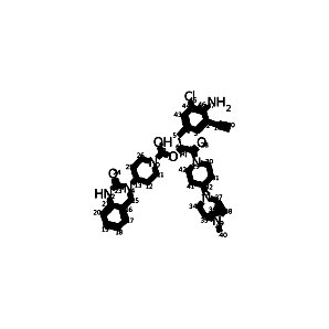 C#Cc1cc(C[C@@H](OC(O)N2CCC(N3Cc4ccccc4NC3=O)CC2)C(=O)N2CCC(N3CC4CC3CN4C)CC2)cc(Cl)c1N